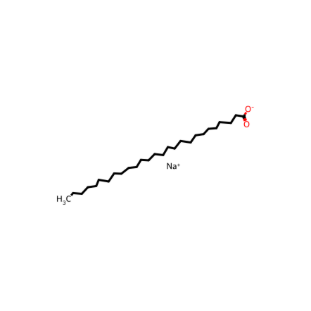 CCCCCCCCCCCCCCCCCCCCCCCCCCC(=O)[O-].[Na+]